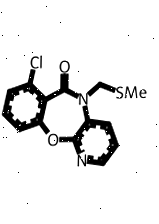 CSCN1C(=O)c2c(Cl)cccc2Oc2ncccc21